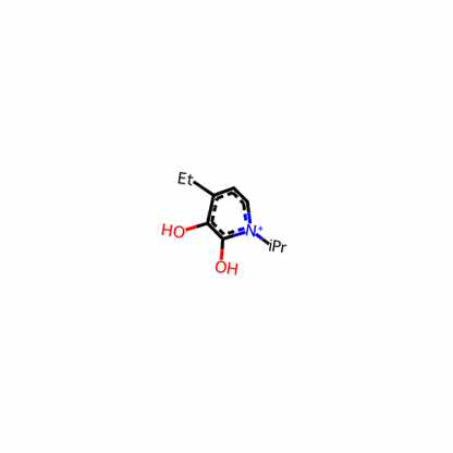 CCc1cc[n+](C(C)C)c(O)c1O